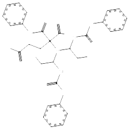 CCC(NC(=O)Oc1ccccc1)N(C(CC)NC(=O)Oc1ccccc1)C(CCC(=O)O)(C(=O)O)C(=O)Oc1ccccc1